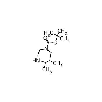 CC1CN(C(=O)OC(C)(C)C)CCNC1C